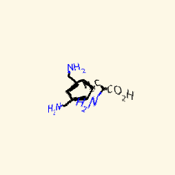 CC(N)C(=O)O.NCc1cccc(CN)c1